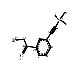 C[Si](C)(C)C#Cc1cccc(C(=O)CBr)c1